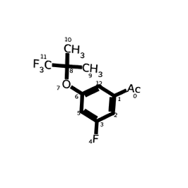 CC(=O)c1cc(F)cc(OC(C)(C)C(F)(F)F)c1